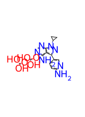 Nc1ccc(-c2nn(C3CC3)c3ncnc(N)c23)cn1.O=C(O)O.O=C(O)O